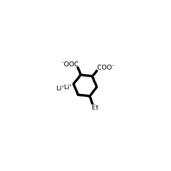 CCC1CCC(C(=O)[O-])C(C(=O)[O-])C1.[Li+].[Li+]